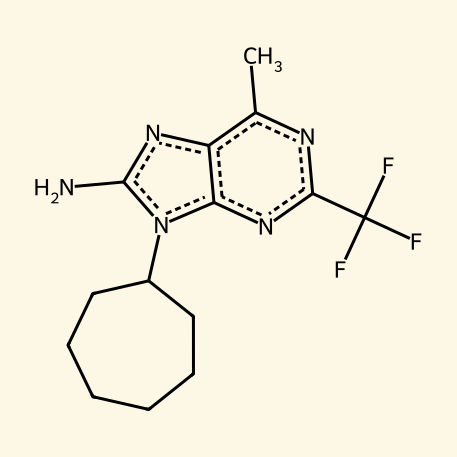 Cc1nc(C(F)(F)F)nc2c1nc(N)n2C1CCCCCC1